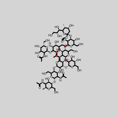 CC(=O)NC1C(O)[C@H](O)[C@H](CO)O[C@H]1OC1[C@@H](OCC2O[C@@H](O[C@@H]3C(CO)O[C@@H](O[C@@H]4C(CO)O[C@@H](C)C(NC(C)=O)[C@H]4O)C(NC(C)=O)[C@H]3O)C(O)[C@@H](O[C@H]3OC(CO)[C@@H](O)C(O)C3O[C@@H]3OC(CO)[C@@H](O[C@@H]4OC(CO)[C@H](O)[C@H](O[C@]5(OC=O)C[C@@H](O)[C@@H](C)C([C@H](O)[C@H](O)CO)O5)C4O)[C@H](O)C3NC(C)=O)[C@@H]2O)OC(CO)[C@@H](O)[C@@H]1O